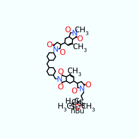 CCCC[Si](C)(C)O[Si](C)(C)CCCN1C(=O)CC(C2C=C(C)C3C(=O)N(CC4CCC(CC5CCC(N6C(=O)CC(C7C=C(C)C8C(=O)N(C)C(=O)C8C7)C6=O)CC5)CC4)C(=O)C3C2)C1=O